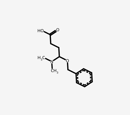 CN(C)C(CCC(=O)O)OCc1ccccc1